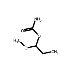 CCC(OC)OC(N)=O